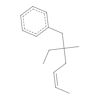 C/C=C\CC(C)(CC)Cc1ccccc1